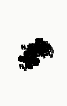 CC[C@H](C)[C@H](NC(=O)[C@@H](NC(=O)[C@H](CC(C)C)NC(=O)[C@@H](NC(=O)[C@H](C)NC(=O)[C@H](Cc1ccccc1)NC(=O)[C@H](CCC(=O)O)NC(=O)[C@H](CCC(N)=O)NC(=O)[C@@H](N)Cc1ccccc1)[C@@H](C)CC)C(C)C)C(=O)O